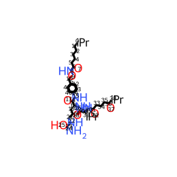 CC(C)CCCCCC(=O)NOCc1ccc(NC(=O)[C@H](CCCNC(N)O)NC(=O)[C@@H](NC(=O)CCCC(=O)C(C)C)C(C)C)cc1